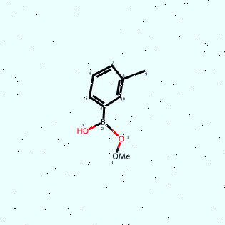 COOB(O)c1cccc(C)c1